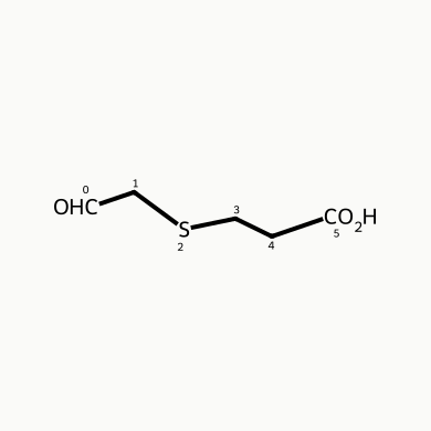 O=CCSCCC(=O)O